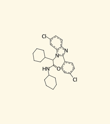 O=C(NC1CCCCC1)C(C1CCCCC1)n1c(-c2ccc(Cl)cc2)nc2ccc(Cl)cc21